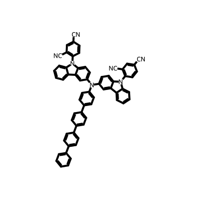 N#Cc1ccc(-n2c3ccccc3c3cc(N(c4ccc(-c5ccc(-c6ccc(-c7ccccc7)cc6)cc5)cc4)c4ccc5c(c4)c4ccccc4n5-c4ccc(C#N)cc4C#N)ccc32)c(C#N)c1